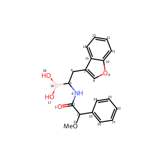 COC(C(=O)NC(Cc1coc2ccccc12)B(O)O)c1ccccc1